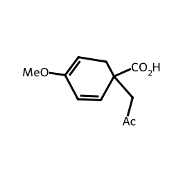 COC1=CCC(CC(C)=O)(C(=O)O)C=C1